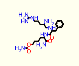 N=C(N)NCCCC(N)CNC(Cc1ccccc1)C(=O)NC(CCCCOC(N)=O)C(N)=O